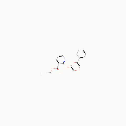 CCOC(=O)c1cccnc1OC1=COC=C(C2=CC=CCC2)O1